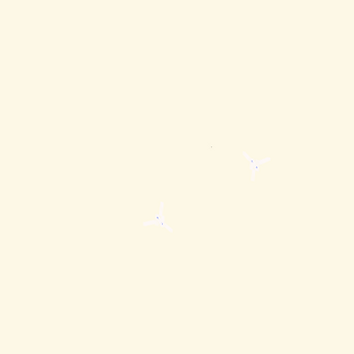 CC(C)CN(CCCC(C)(C)CN(C)C(C)C)C(C)C